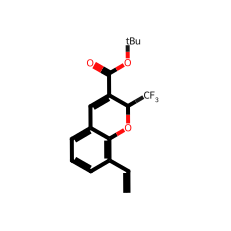 C=Cc1cccc2c1OC(C(F)(F)F)C(C(=O)OC(C)(C)C)=C2